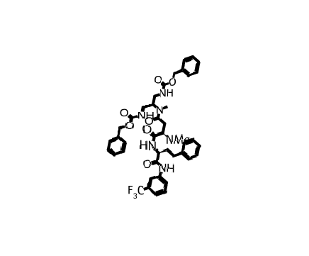 CN[C@@H](CC(=O)N(C)C(CNC(=O)OCc1ccccc1)CNC(=O)OCc1ccccc1)C(=O)N[C@@H](CCc1ccccc1)C(=O)Nc1cccc(C(F)(F)F)c1